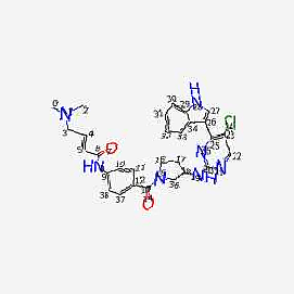 CN(C)CC=CC(=O)Nc1ccc(C(=O)N2CCC(Nc3ncc(Cl)c(-c4c[nH]c5ccccc45)n3)C2)cc1